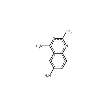 Cc1nc(N)c2cc(N)ccc2n1